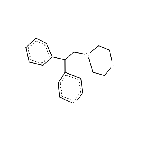 c1ccc(C(CN2CCNCC2)c2ccncc2)cc1